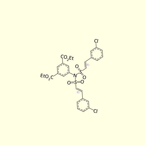 CCOC(=O)c1cc(C(=O)OCC)cc(N(S(=O)(=O)/C=C/c2cccc(Cl)c2)S(=O)(=O)/C=C/c2cccc(Cl)c2)c1